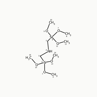 CO[Si](CNC[Si](OC)(OC)OC)(OC)OC